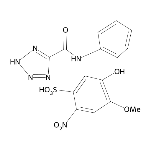 COc1cc([N+](=O)[O-])c(S(=O)(=O)O)cc1O.O=C(Nc1ccccc1)c1nn[nH]n1